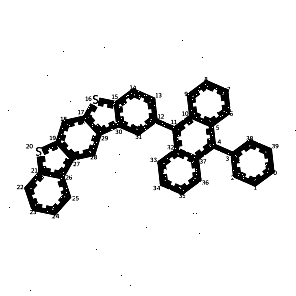 c1ccc(-c2c3ccccc3c(-c3ccc4sc5cc6sc7ccccc7c6cc5c4c3)c3ccccc23)cc1